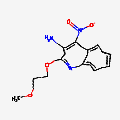 COCCOc1nc2ccccc2c([N+](=O)[O-])c1N